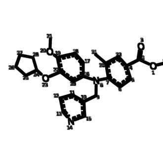 COC(=O)c1ccc(N(Cc2cccnc2)c2ccc(OC)c(OC3CCCC3)c2)c(C)c1